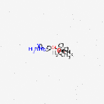 CC(C)(C)[Si](OCCOc1ccc2c(ccn2-c2ccnc(N)n2)c1)(c1ccccc1)c1ccccc1